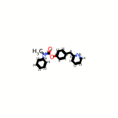 CN(C(=O)Oc1ccc(Cc2ccccn2)cc1)c1ccccc1